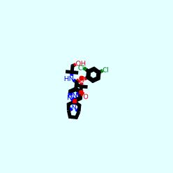 CC(C)(CO)NC(=O)c1ccc(N2C3CCC2CC(NC(=O)C(C)(C)Oc2ccc(Cl)cc2Cl)C3)nc1